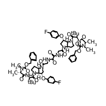 C[C@@H](C(=O)NC(C(=O)N1CC[C@@H]2[C@H]1[C@@H](Oc1ccc(F)cc1)CN2C(=O)CNC(=O)C(=O)NCC(=O)N1C[C@H](Oc2ccc(F)cc2)[C@@H]2[C@H]1CCN2C(=O)C(NC(=O)[C@H](C)N(C)C(=O)OCc1ccccc1)C(C)(C)C)C(C)(C)C)N(C)C(=O)OCc1ccccc1